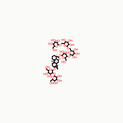 C=C1C[C@@]23CCC4[C@](C)(C(=O)OC5OC(CO)C(OC6OC(COC7OC(COC8OC(CO)C(O)C(O)C8O)C(O)C(O)C7O)C(O)C(O)C6O)C(O)C5O)CCC[C@@]4(C)[C@@H]2CC[C@]1(OC1OC(CO)C(O)C(O)C1OC1OC(CO)C(O)C(O)C1O)C3